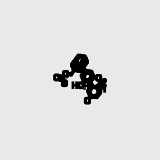 CC1(C)Oc2cc([C@]34CC5CC(C[C@@](CO[N+](=O)[O-])(C5)C3)C4)cc(O)c2[C@@H]2CC(=O)CC[C@H]21